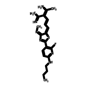 CCCCNc1ccc(C2=NC(=N/C)/C(=C\C=C\C(C(C)=N)=C(/C)N)S2)c(F)n1